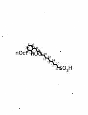 CCCCCCCCc1cccc(CCCCCCCCCCCCS(=O)(=O)O)c1CCCCCCCC